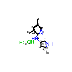 Cc1cnc(N[C@@H]2CN[C@H](C)C2)c(C)c1.Cl.Cl